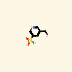 O=S(=O)(Cl)c1cncc(CI)c1